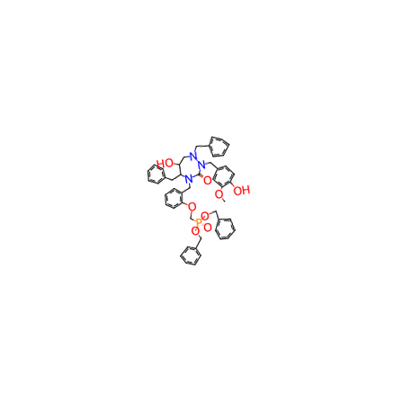 COc1cc(CN2C(=O)N(Cc3ccccc3OCP(=O)(OCc3ccccc3)OCc3ccccc3)C(Cc3ccccc3)C(O)CN2Cc2ccccc2)ccc1O